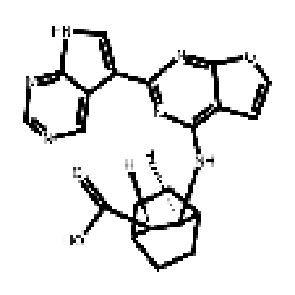 O=C(O)[C@H]1C2CCC(CC2)[C@@H]1Nc1nc(-c2c[nH]c3ncncc23)nc2occc12